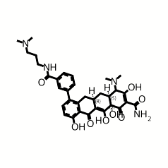 CN(C)CCCNC(=O)c1cccc(-c2ccc(O)c3c2C[C@H]2C[C@H]4C(N(C)C)C(O)=C(C(N)=O)C(=O)[C@@]4(O)C(O)=C2C3=O)c1